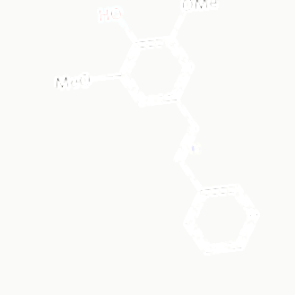 COc1cc(/C=C/c2ccccc2)cc(OC)c1O